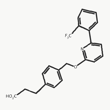 O=C(O)CCc1ccc(COc2cccc(-c3ccccc3C(F)(F)F)n2)cc1